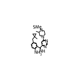 CSN1CCN(c2cc(C(=N)c3cc(CC4(C)CC4)ccc3N)ncn2)CC1C